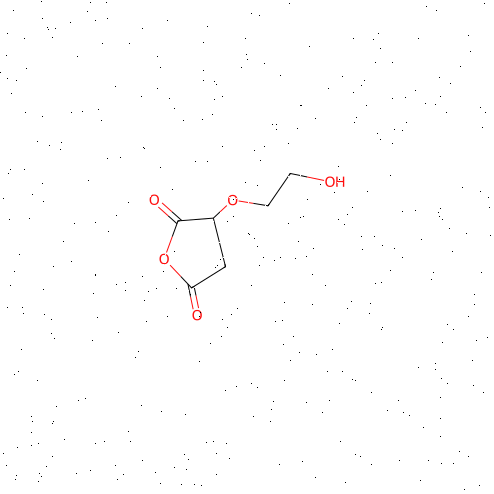 O=C1CC(OCCO)C(=O)O1